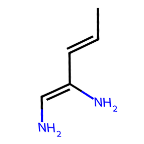 CC=CC(N)=CN